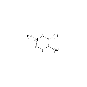 COC1CCN(N)CC1C